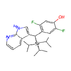 CC(C)[Si](C(C)C)(C(C)C)C(c1cc(F)c(O)cc1F)c1c[nH]c2ncccc12